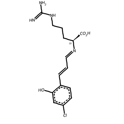 N=C(N)NCCC[C@H](N=CC=Cc1ccc(Cl)cc1O)C(=O)O